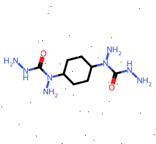 NNC(=O)N(N)C1CCC(N(N)C(=O)NN)CC1